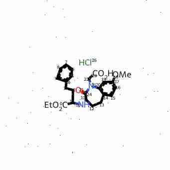 CCOC(=O)C(CCc1ccccc1)NC1CCc2ccc(OC)cc2N(CC(=O)O)C1=O.Cl